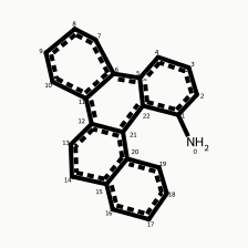 Nc1cccc2c3ccccc3c3ccc4ccccc4c3c12